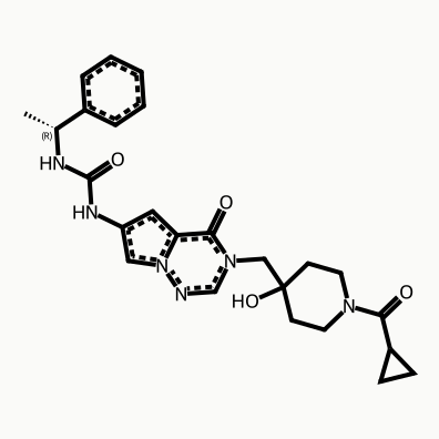 C[C@@H](NC(=O)Nc1cc2c(=O)n(CC3(O)CCN(C(=O)C4CC4)CC3)cnn2c1)c1ccccc1